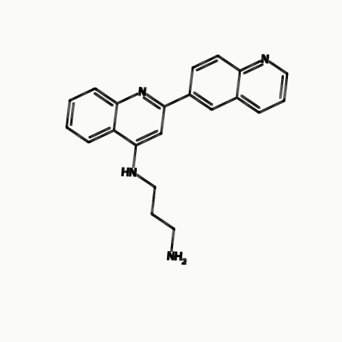 NCCCNc1cc(-c2ccc3ncccc3c2)nc2ccccc12